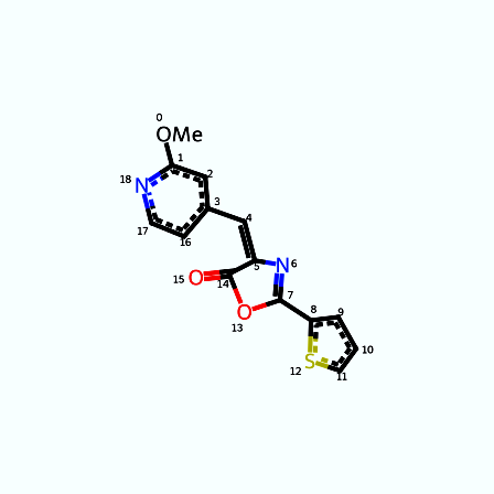 COc1cc(C=C2N=C(c3cccs3)OC2=O)ccn1